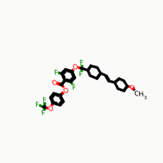 COC1CCC(/C=C/C2CCC(C(F)(F)Oc3cc(F)c(C(=O)Oc4ccc(OC(F)(F)F)cc4)c(F)c3)CC2)CC1